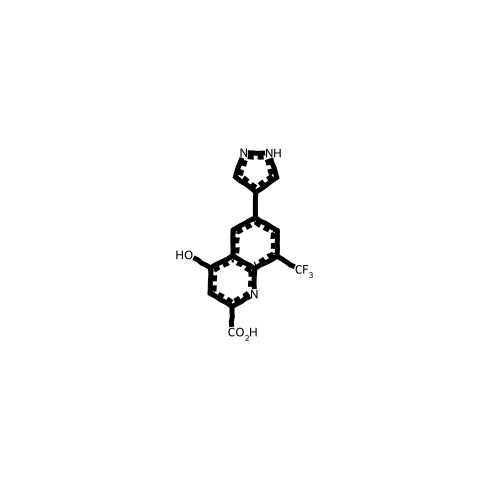 O=C(O)c1cc(O)c2cc(-c3cn[nH]c3)cc(C(F)(F)F)c2n1